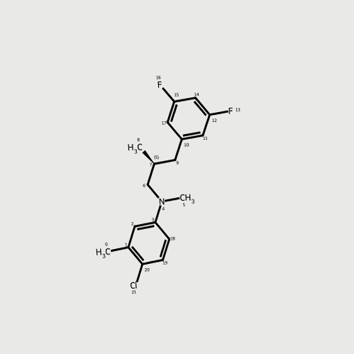 Cc1cc(N(C)C[C@@H](C)Cc2cc(F)cc(F)c2)ccc1Cl